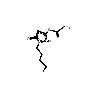 CCCCCn1[nH]c(NC(N)=O)cc1=O